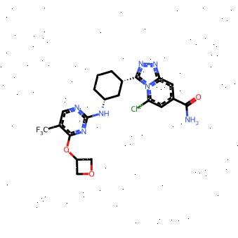 NC(=O)c1cc(Cl)n2c([C@H]3CCC[C@@H](Nc4ncc(C(F)(F)F)c(OC5COC5)n4)C3)nnc2c1